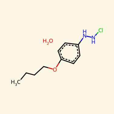 CCCCOc1ccc(NNCl)cc1.O